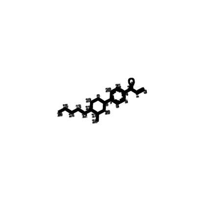 C=CC(=O)c1ccc(C2CCC(CCCCC)C(C)C2)cc1